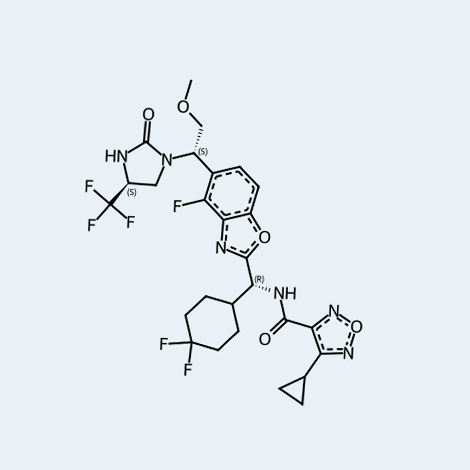 COC[C@H](c1ccc2oc([C@H](NC(=O)c3nonc3C3CC3)C3CCC(F)(F)CC3)nc2c1F)N1C[C@@H](C(F)(F)F)NC1=O